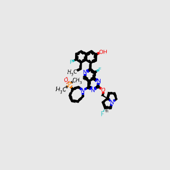 CCc1c(F)ccc2cc(O)cc(-c3ncc4c(N5CCCCC(P(C)(C)=O)C5)nc(OC[C@@]56CCCN5C[C@H](F)C6)nc4c3F)c12